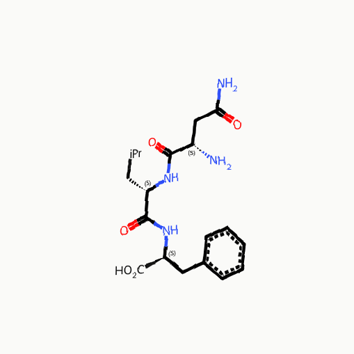 CC(C)C[C@H](NC(=O)[C@@H](N)CC(N)=O)C(=O)N[C@@H](Cc1ccccc1)C(=O)O